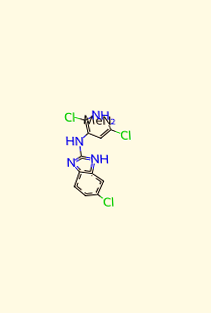 CN/C(Cl)=C\C(Nc1nc2ccc(Cl)cc2[nH]1)=C(/N)Cl